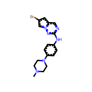 CN1CCN(c2ccc(Nc3ncc4cc(Br)cn4n3)cc2)CC1